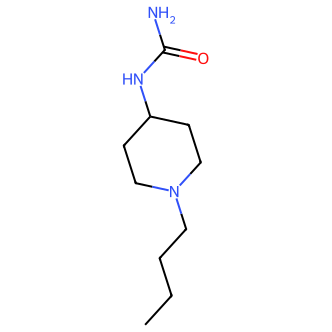 CCCCN1CCC(NC(N)=O)CC1